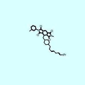 CCC/C=C/C/C=C/CCC1CCC(Cc2c3c(=O)n(C)c(=O)c3cc3c(=O)n(-c4cccc(C)c4)c(=O)c23)CC1